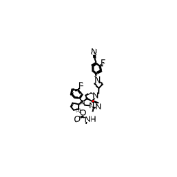 CNC(=O)O[C@H]1CCCC1[C@](Cn1ccnc1C)(c1cccc(F)c1)C1CCN(CC2CN(c3ccc(C#N)c(F)c3)C2)CC1